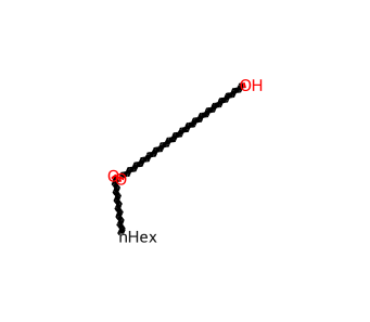 CCCCCCC=CCCCCCCCCCCCC(=O)OCCCCCCCCCCCCCCCCCCCCCCCCCCCCCCCCCCCCCO